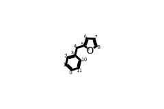 [c]1ccc(Cc2ccco2)cc1